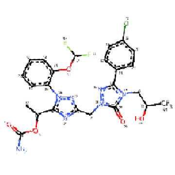 CC(OC(N)=O)c1nc(Cn2nc(-c3ccc(Cl)cc3)n(C[C@H](O)C(F)(F)F)c2=O)nn1-c1ccccc1OC(F)F